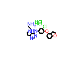 Cl.Cl.NCCn1ccc2ncnc(Nc3ccc(Oc4cccc5occc45)c(Cl)c3)c21